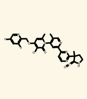 Cc1cnc(-c2ccnc(C3(C)CCNC3=C=O)n2)cc1-n1c(C)cc(OCc2ncc(F)cc2F)c(Cl)c1=O